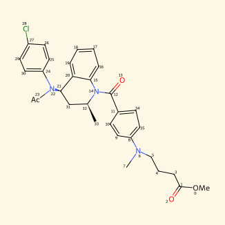 COC(=O)CCCN(C)c1ccc(C(=O)N2c3ccccc3[C@H](N(C(C)=O)c3ccc(Cl)cc3)C[C@@H]2C)cc1